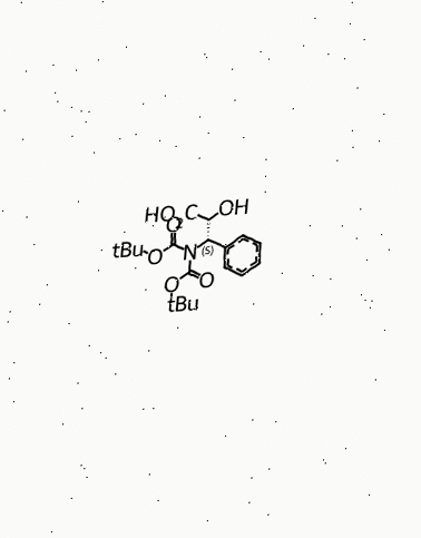 CC(C)(C)OC(=O)N(C(=O)OC(C)(C)C)[C@@H](c1ccccc1)C(O)C(=O)O